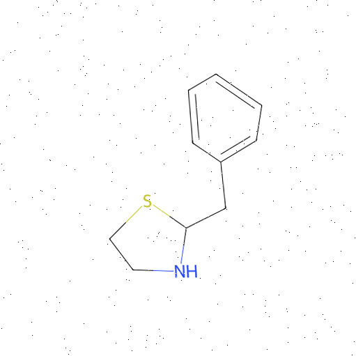 c1ccc(CC2NCCS2)cc1